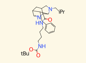 CC(C)CN1CC2CC3C=NC2(C(=O)NCCCCNC(=O)OC(C)(C)C)C1C3Cc1ccccc1